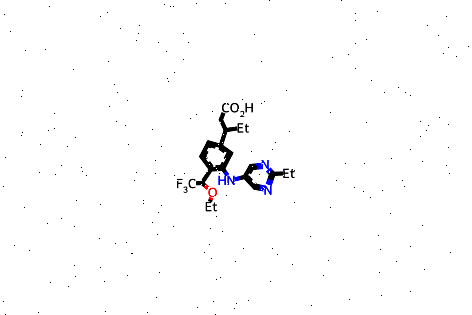 CCOC(c1ccc(C(CC)CC(=O)O)cc1Nc1cnc(CC)nc1)C(F)(F)F